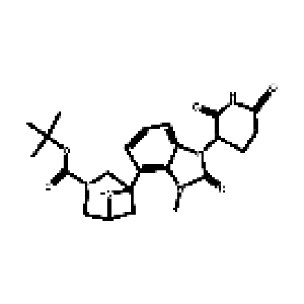 Cn1c(=O)n(C2CCC(=O)NC2=O)c2cccc(C34CC(CN(C(=O)OC(C)(C)C)C3)N4)c21